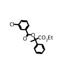 CCOC(=O)C(C)(OC(=O)c1cccc(Cl)c1)c1ccccc1